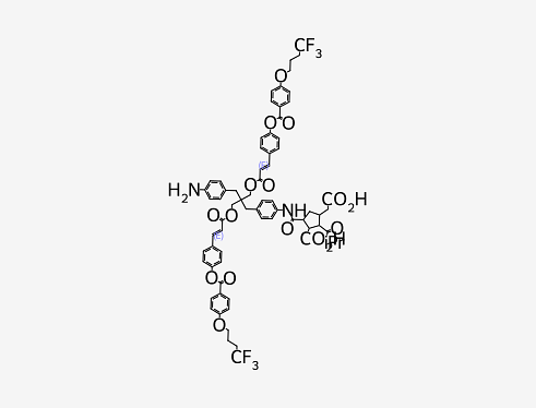 CC(C)C(=O)C1C(CC(=O)O)CC(C(=O)Nc2ccc(CC(COC(=O)/C=C/c3ccc(OC(=O)c4ccc(OCCCC(F)(F)F)cc4)cc3)(COC(=O)/C=C/c3ccc(OC(=O)c4ccc(OCCCC(F)(F)F)cc4)cc3)Cc3ccc(N)cc3)cc2)C1C(=O)O